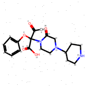 CC(=O)C(Oc1ccccc1)(C(=O)O)N1CCN(C2CCNCC2)CC1=O